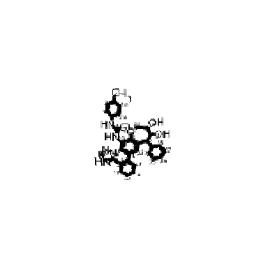 Cc1ccc(NC(=O)Nc2cc(-c3ccccc3-c3nnn[nH]3)cc3c2OCC(O)C(O)C3c2ccccc2)cc1